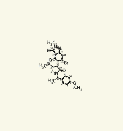 COc1ccc(C(C)N2C[C@H]([C@@H](C)Oc3cc(Br)cc4nn(C)c(F)c34)CC2=O)cc1